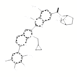 COc1cc(C(=O)N2CC3CCC2[C@@H]3N)cc2nc(-c3cc4ccc(-c5cc(Cl)c(O)c(Cl)c5C)nc4n3CC3CC3)n(C)c12